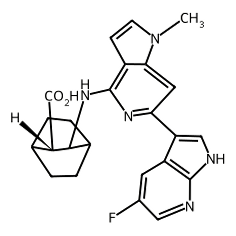 Cn1ccc2c(NC3C4CCC(CC4)[C@@H]3C(=O)O)nc(-c3c[nH]c4ncc(F)cc34)cc21